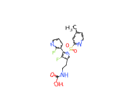 Cc1ccnc(S(=O)(=O)n2cc(CCNC(=O)O)c(F)c2-c2cccnc2F)c1